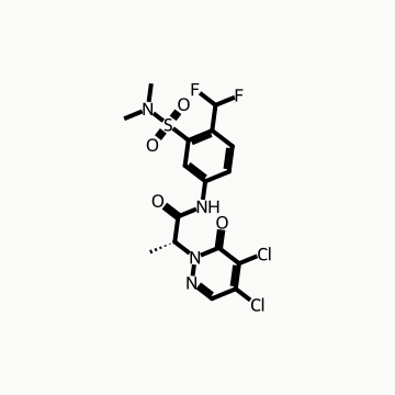 C[C@H](C(=O)Nc1ccc(C(F)F)c(S(=O)(=O)N(C)C)c1)n1ncc(Cl)c(Cl)c1=O